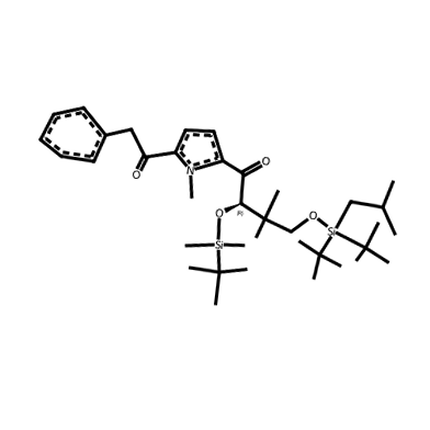 CC(C)C[Si](OCC(C)(C)[C@@H](O[Si](C)(C)C(C)(C)C)C(=O)c1ccc(C(=O)Cc2ccccc2)n1C)(C(C)(C)C)C(C)(C)C